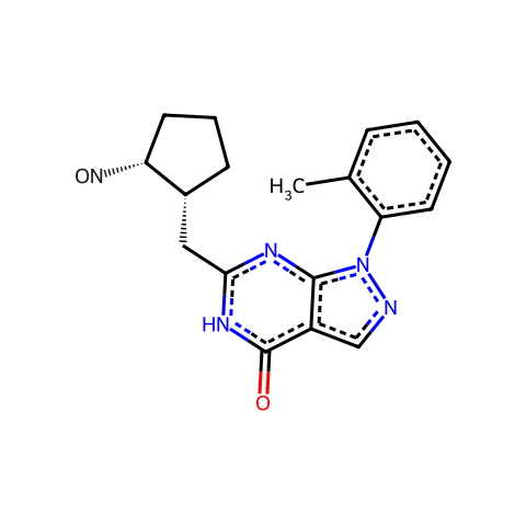 Cc1ccccc1-n1ncc2c(=O)[nH]c(C[C@H]3CCC[C@H]3N=O)nc21